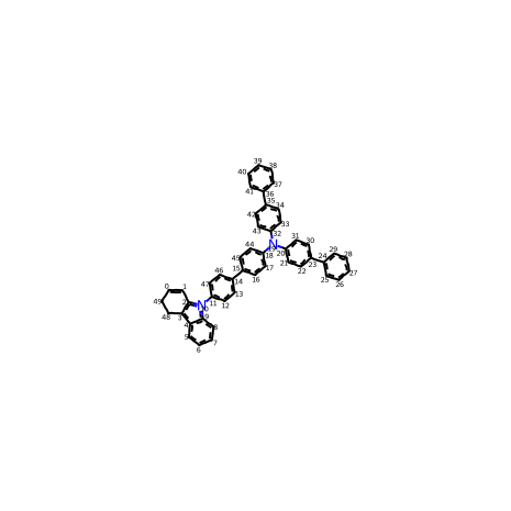 C1=Cc2c(c3ccccc3n2-c2ccc(-c3ccc(N(c4ccc(-c5ccccc5)cc4)c4ccc(-c5ccccc5)cc4)cc3)cc2)CC1